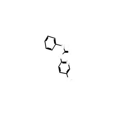 O=C(Nc1ccccc1)Oc1ccc(C(F)(F)F)cn1